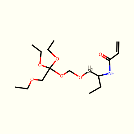 C=CC(=O)NC(CC)[SiH2]OCOC(COCC)(OCC)OCC